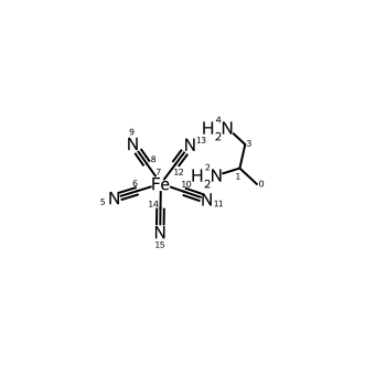 CC(N)CN.N#[C][Fe]([C]#N)([C]#N)([C]#N)[C]#N